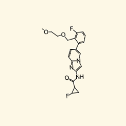 COCCOCc1c(F)cccc1-c1ccc2nc(NC(=O)C3CC3F)cn2c1